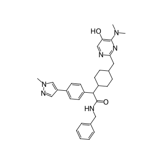 CN(C)c1nc(CC2CCC(C(C(=O)NCc3ccccc3)c3ccc(-c4cnn(C)c4)cc3)CC2)ncc1O